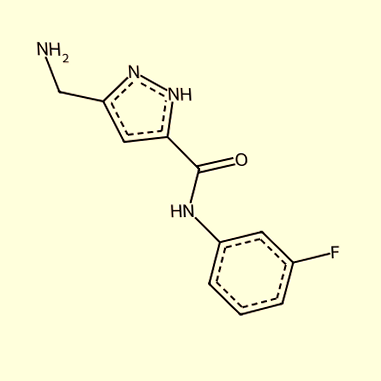 NCc1cc(C(=O)Nc2cccc(F)c2)[nH]n1